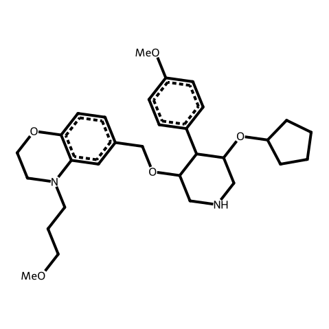 COCCCN1CCOc2ccc(COC3CNCC(OC4CCCC4)C3c3ccc(OC)cc3)cc21